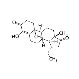 CC[C@H]1CC(=O)[C@@]2(C)CC[C@H]3[C@@H](CCC4=C(O)C(=O)CC[C@@]43C)[C@H]12